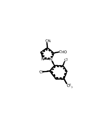 N#Cc1cnn(-c2c(Cl)cc(C(F)(F)F)cc2Cl)c1C=O